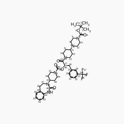 CC(C)(C)OC(=O)N1CCN(C2CCN(C(=O)[C@@H](Cc3cccc(C(F)(F)F)c3)OC(=O)N3CCC(N4CCc5ccccc5NC4=O)CC3)CC2)CC1